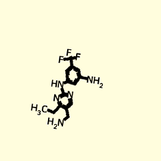 CCc1nc(Nc2cc(N)cc(C(F)(F)F)c2)ncc1CN